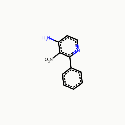 Nc1ccnc(-c2ccccc2)c1[N+](=O)[O-]